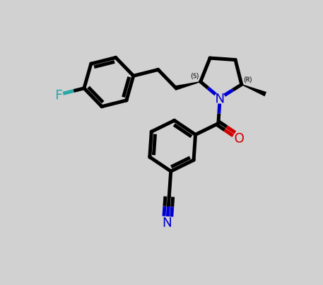 C[C@@H]1CC[C@H](CCc2ccc(F)cc2)N1C(=O)c1cccc(C#N)c1